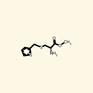 COC(=O)[C@@H](N)CSCc1cccs1